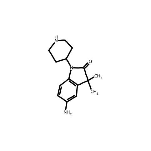 CC1(C)C(=O)N(C2CCNCC2)c2ccc(N)cc21